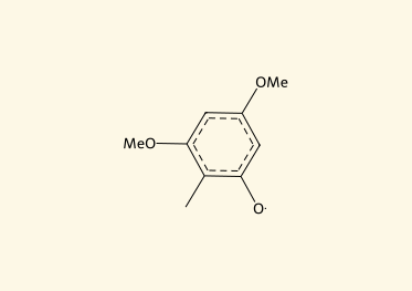 COc1cc([O])c(C)c(OC)c1